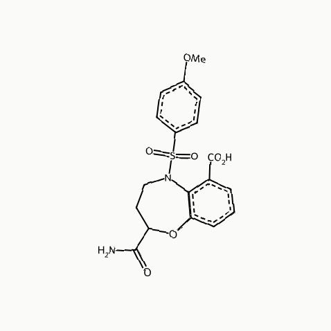 COc1ccc(S(=O)(=O)N2CCC(C(N)=O)Oc3cccc(C(=O)O)c32)cc1